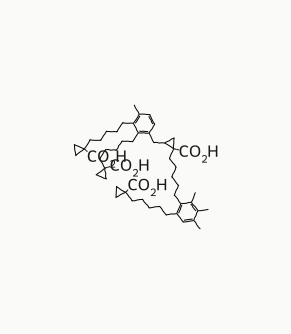 Cc1cc(CCCCCC2(C(=O)O)CC2)c(CCCCCC2(C(=O)O)CC2Cc2ccc(C)c(CCCCCC3(C(=O)O)CC3)c2CCCCCC2(C(=O)O)CC2)c(C)c1C